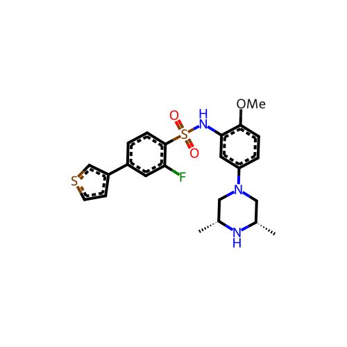 COc1ccc(N2C[C@@H](C)N[C@@H](C)C2)cc1NS(=O)(=O)c1ccc(-c2ccsc2)cc1F